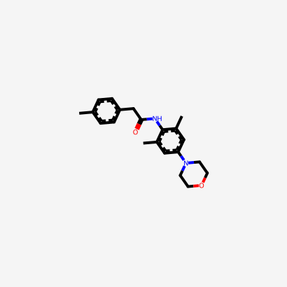 Cc1ccc(CC(=O)Nc2c(C)cc(N3CCOCC3)cc2C)cc1